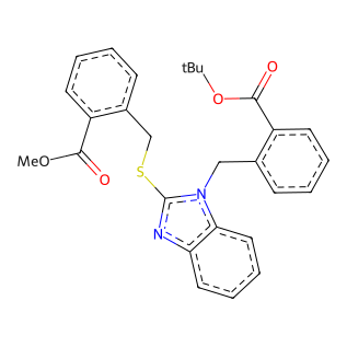 COC(=O)c1ccccc1CSc1nc2ccccc2n1Cc1ccccc1C(=O)OC(C)(C)C